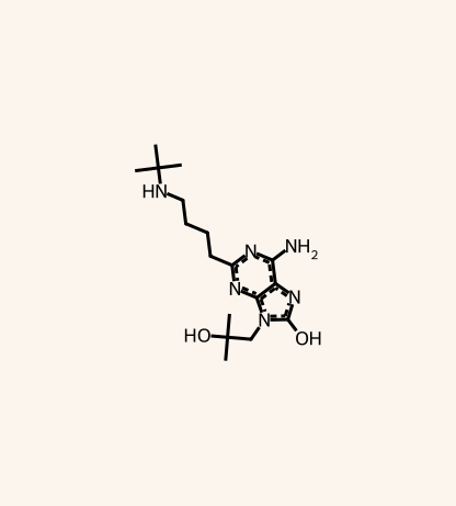 CC(C)(O)Cn1c(O)nc2c(N)nc(CCCCNC(C)(C)C)nc21